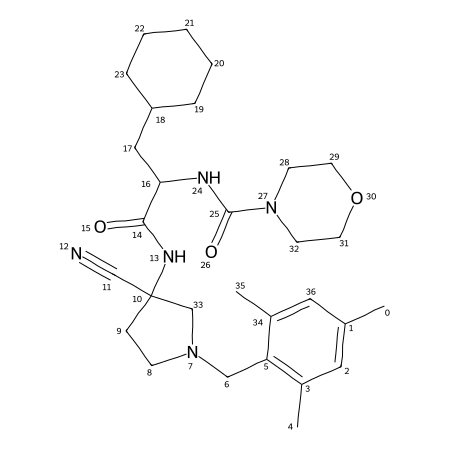 Cc1cc(C)c(CN2CCC(C#N)(NC(=O)C(CC3CCCCC3)NC(=O)N3CCOCC3)C2)c(C)c1